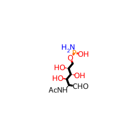 CC(=O)N[C@@H](C=O)[C@@H](O)[C@@H](O)[C@H](O)COP(N)O